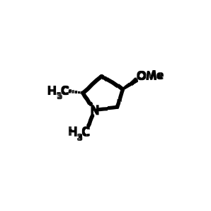 CO[C@@H]1C[C@@H](C)N(C)C1